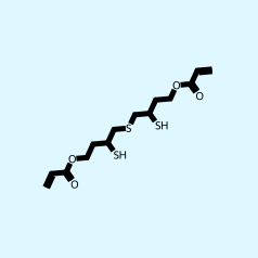 C=CC(=O)OCCC(S)CSCC(S)CCOC(=O)C=C